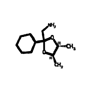 C[C@H]1OC(CN)(C2CCCCC2)O[C@@H]1C